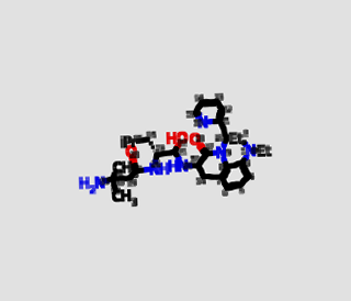 CCN(CC)c1cccc2c1N(Cc1ccccn1)C(=O)C(NC(O)[C@@H](CC(C)C)NC(=O)CC(C)(C)N)C2